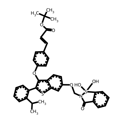 CC(C)c1ccccc1-c1sc2cc(OCN3C(=O)c4ccccc4S3(O)O)ccc2c1Oc1ccc(C=CC(=O)OC(C)(C)C)cc1